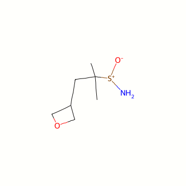 CC(C)(CC1COC1)[S+](N)[O-]